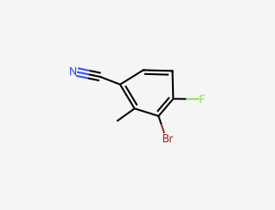 Cc1c(C#N)ccc(F)c1Br